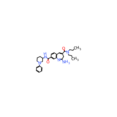 CCCN(CCC)C(=O)C1=Cc2ccc(C(=O)NC3CCCN(c4ccccc4)C3)cc2N=C(N)C1